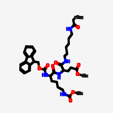 CCCCCCCCCCCC(=O)NCCCCCCNC(=O)C(CCC(=O)OC(C)(C)C)NC(=O)C(CCCCNC(=O)OC(C)(C)C)NC(=O)OCC1c2ccccc2-c2ccccc21